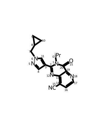 CC(C)n1c(-c2cnn(CC3CC3)c2)nc2c(C#N)ccnc2c1=O